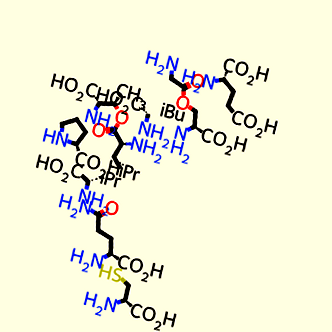 CC(C)C[C@H](N)C(=O)O[C@H](C)[C@H](N)C(=O)O.CC(C)[C@H](N)C(=O)O.CC[C@H](C)[C@H](N)C(=O)O.NC(=O)CC[C@H](N)C(=O)O.NCC(=O)OC[C@H](N)C(=O)O.N[C@@H](CCC(=O)O)C(=O)O.N[C@@H](CS)C(=O)O.O=C(O)[C@@H]1CCCN1